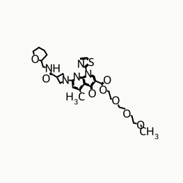 COCCOCCOCCOC(=O)c1cn(-c2nccs2)c2nc(N3CC(C(=O)NCC4CCCCO4)C3)cc(C)c2c1=O